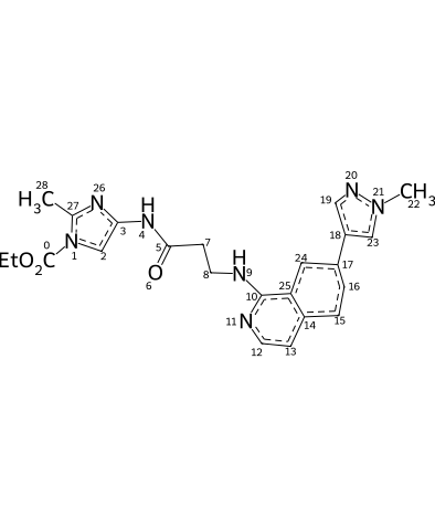 CCOC(=O)n1cc(NC(=O)CCNc2nccc3ccc(-c4cnn(C)c4)cc23)nc1C